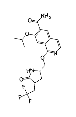 CC(C)Oc1cc2c(OC[C@@H]3CC(CC(F)(F)F)C(=O)N3)nccc2cc1C(N)=O